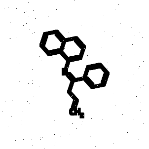 C=CCC(=Nc1cccc2ccccc12)c1ccccc1